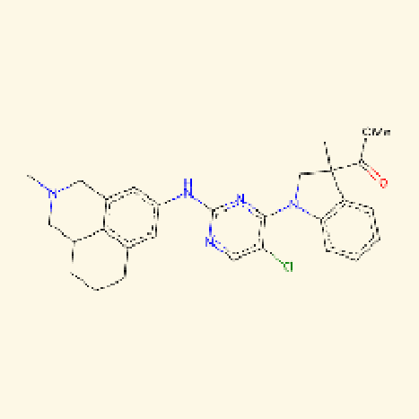 COC(=O)C1(C)CN(c2nc(Nc3cc4c5c(c3)CN(C)CC5CCC4)ncc2Cl)c2ccccc21